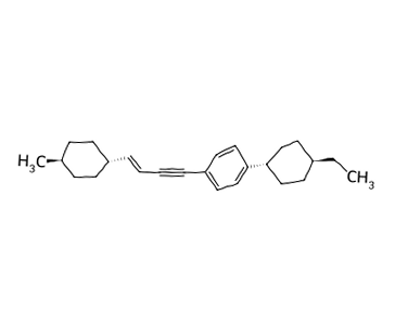 CC[C@H]1CC[C@H](c2ccc(C#C/C=C/[C@H]3CC[C@H](C)CC3)cc2)CC1